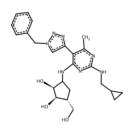 Cc1nc(NCC2CC2)nc(NC2C[C@H](CO)[C@@H](O)[C@H]2O)c1-c1cn(Cc2ccccc2)nn1